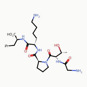 CC(C)C[C@H](NC(=O)[C@H](CCCCN)NC(=O)[C@@H]1CCCN1C(=O)[C@@H](NC(=O)CN)[C@@H](C)O)C(=O)O